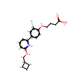 O=C(O)CCCOc1ccc(-c2cccc(OCC3CCC3)n2)cc1F